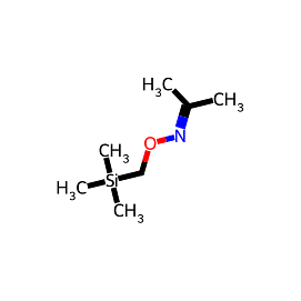 CC(C)=NOC[Si](C)(C)C